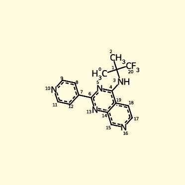 CC(C)(Nc1nc(-c2ccncc2)nc2cnccc12)C(F)(F)F